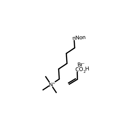 C=CC(=O)O.CCCCCCCCCCCCCC[N+](C)(C)C.[Br-]